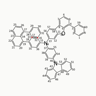 c1ccc(-c2cccc3c2oc2cc(N(c4ccc(-c5cccc6cccc(-c7ccccc7)c56)cc4)c4ccc(-n5c6ccccc6c6ccccc65)cc4)ccc23)cc1